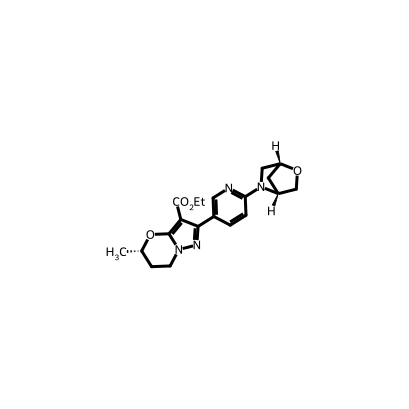 CCOC(=O)c1c(-c2ccc(N3C[C@H]4C[C@@H]3CO4)nc2)nn2c1O[C@@H](C)CC2